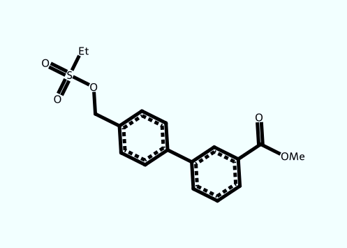 CCS(=O)(=O)OCc1ccc(-c2cccc(C(=O)OC)c2)cc1